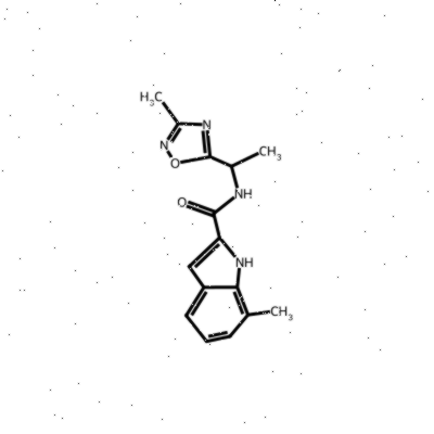 Cc1noc(C(C)NC(=O)c2cc3cccc(C)c3[nH]2)n1